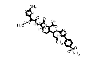 C=CCC(Sc1nnc(-c2ccc(S(N)(=O)=O)cc2)[nH]1)C1=C(C(=O)O)N2C(=O)[C@@H](NC(=O)C(=NOC)c3csc(N)n3)[C@@H]2SC1